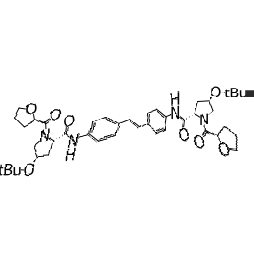 CC(C)(C)O[C@@H]1C[C@@H](C(=O)Nc2ccc(/C=C/c3ccc(NC(=O)[C@@H]4C[C@@H](OC(C)(C)C)CN4C(=O)[C@H]4CCCO4)cc3)cc2)N(C(=O)[C@H]2CCCO2)C1